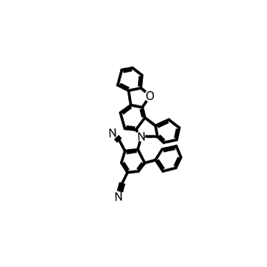 N#Cc1cc(C#N)c(-n2c3ccccc3c3c4oc5ccccc5c4ccc32)c(-c2ccccc2)c1